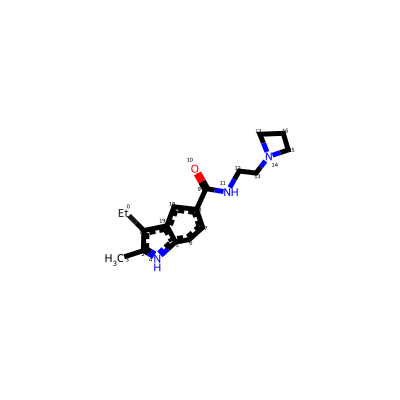 CCc1c(C)[nH]c2ccc(C(=O)NCCN3CCC3)cc12